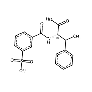 CC(c1ccccc1)[C@H](NC(=O)c1cccc(S(=O)(=O)O)c1)C(=O)O